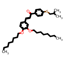 CCCCCCCCOc1ccc(/C=C/C(=O)c2ccc(SCC(C)C)cc2)cc1OCCCCCCCC